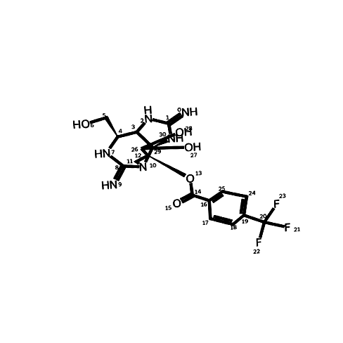 N=C1NC2[C@H](CO)NC(=N)N3C[C@H](OC(=O)c4ccc(C(F)(F)F)cc4)C(O)(O)[C@]23N1